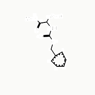 CCCCCC(NC(=O)OCc1ccccc1)C(=O)OC